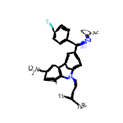 CCCCC(CC)Cn1c2ccc(/C(=N/OC(C)=O)c3ccc(F)cc3)cc2c2cc([N+](=O)[O-])ccc21